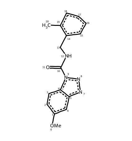 COc1ccc2c(c1)nnn2C(=O)NCc1ccccc1C